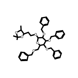 CC1OC(C)(C)OC1CCOC1OC(COCc2ccccc2)C(OCc2ccccc2)C(OCc2ccccc2)C1OCc1ccccc1